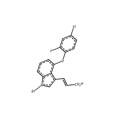 CCn1cc(/C=C/C(=O)O)c2c(Oc3ccc(Cl)cc3F)cccc21